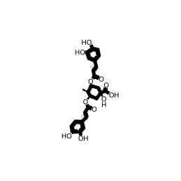 C[C@H]1[C@H](OC(=O)/C=C/c2ccc(O)c(O)c2)C[C@](O)(C(=O)O)C[C@H]1OC(=O)/C=C/c1ccc(O)c(O)c1